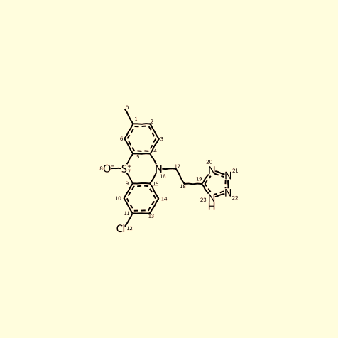 Cc1ccc2c(c1)[S+]([O-])c1cc(Cl)ccc1N2CCc1nnn[nH]1